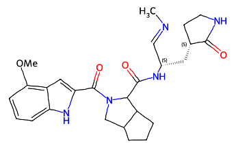 CN=C[C@H](C[C@@H]1CCNC1=O)NC(=O)C1C2CCCC2CN1C(=O)c1cc2c(OC)cccc2[nH]1